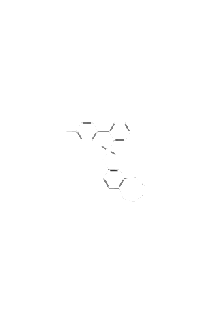 O=S(=O)(Nc1ccc2c(c1)CNCCC2)c1ccccc1-c1ccc(Cl)cc1